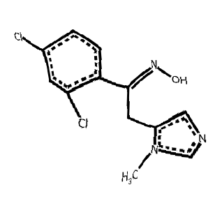 Cn1cncc1CC(=NO)c1ccc(Cl)cc1Cl